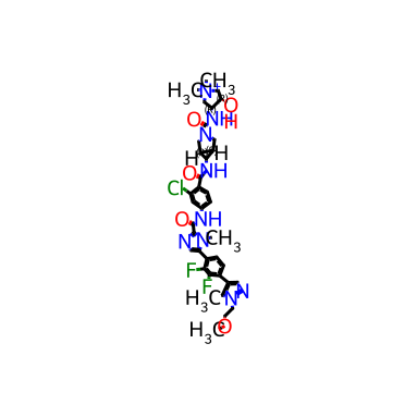 COCCn1ncc(-c2ccc(-c3cnc(C(=O)Nc4ccc(C(=O)NC5[C@H]6CN(C(=O)N[C@@H]7C[N+](C)(C)C[C@H]7O)C[C@@H]56)c(Cl)c4)n3C)c(F)c2F)c1C